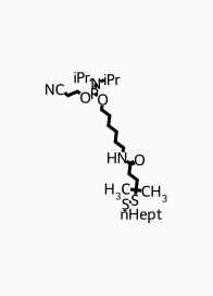 CCCCCCCSSC(C)(C)CCC(=O)NCCCCCCOP(OCCC#N)N(C(C)C)C(C)C